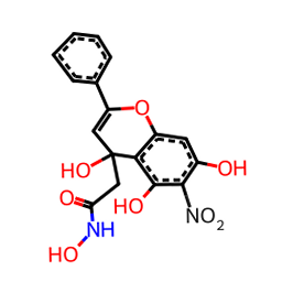 O=C(CC1(O)C=C(c2ccccc2)Oc2cc(O)c([N+](=O)[O-])c(O)c21)NO